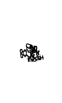 CCC(c1ccc2c(c1)OCO2)N1C(=O)[C@](C)(S)N(C)C(=O)[C@@]1(S)CCC#N